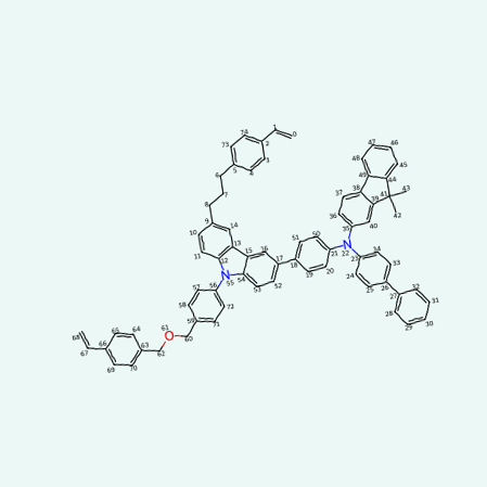 C=Cc1ccc(CCCc2ccc3c(c2)c2cc(-c4ccc(N(c5ccc(-c6ccccc6)cc5)c5ccc6c(c5)C(C)(C)c5ccccc5-6)cc4)ccc2n3-c2ccc(COCc3ccc(C=C)cc3)cc2)cc1